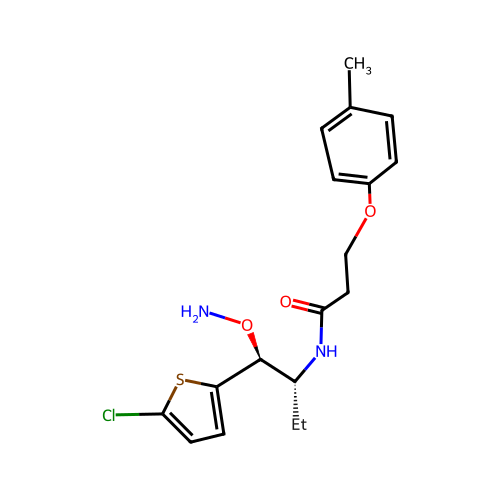 CC[C@@H](NC(=O)CCOc1ccc(C)cc1)[C@H](ON)c1ccc(Cl)s1